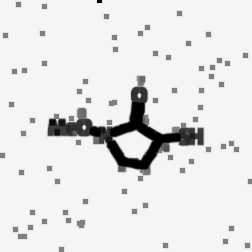 CON1CCC(S)C1=O